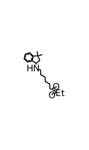 CCS(=O)(=O)CCCCCCNC1CC(C)(C)c2ccccc21